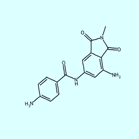 CN1C(=O)c2cc(NC(=O)c3ccc(N)cc3)cc(N)c2C1=O